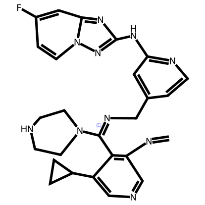 C=Nc1cncc(C2CC2)c1/C(=N\Cc1ccnc(Nc2nc3cc(F)ccn3n2)c1)N1CCNCC1